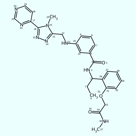 CCC(NC(=O)c1cccc(NCc2nnc(-c3ccncn3)n2C)c1)c1ccccc1OCC(=O)NC